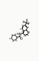 O=C(Nc1ncnc2cc(C(F)(F)F)ccc12)C1CCCCC1